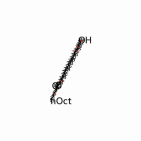 CCCCCCCC/C=C\CCCCCCCC(=O)OCCCCCCCCCCCCCCCCCCCCCCCCCCCCCCCO